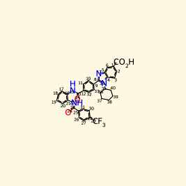 O=C(O)c1ccc2c(c1)nc(-c1ccc(C(=O)Nc3ccccc3NC(=O)c3ccc(C(F)(F)F)cc3)cc1)n2C1CCCCC1